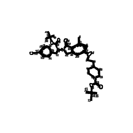 Cc1cc(OCCC2CCN(C(=O)OC(C)(C)C)CC2)cc2c1C(=O)N(N(Cc1ccc(Cl)cc1)C(=O)OC(C)(C)C)C2